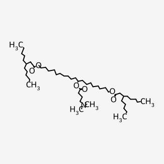 CCCCCC(CCCCC)CC(=O)OCCCCCCCCCCC(CCCCCCCCOC(=O)CC(CCCCC)CCCCC)OC(=O)CCCN(C)C